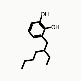 CCCCC(CC)Cc1cccc(O)c1O